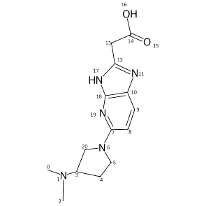 CN(C)C1CCN(c2ccc3nc(CC(=O)O)[nH]c3n2)C1